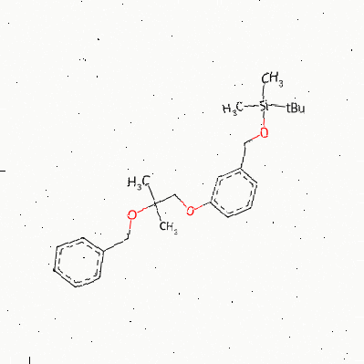 CC(C)(COc1cccc(CO[Si](C)(C)C(C)(C)C)c1)OCc1ccccc1